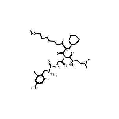 Cc1cc(O)cc(C)c1C[C@@H](N)C(=O)NCC(=O)N(C(=O)C(N)CC[S+](C)[O-])C(=O)[C@H](CC1CCCCC1)N(C)CCCCCCO.Cl